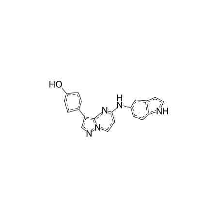 Oc1ccc(-c2cnn3ccc(Nc4ccc5[nH]ccc5c4)nc23)cc1